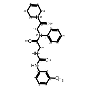 Cc1cccc(NC(=O)NCC(=O)N(CC(=O)N2CC=CCC2)c2ccccc2)c1